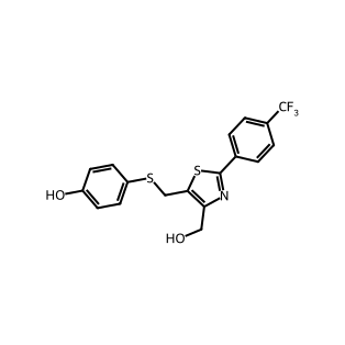 OCc1nc(-c2ccc(C(F)(F)F)cc2)sc1CSc1ccc(O)cc1